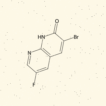 O=c1[nH]c2ncc(F)cc2cc1Br